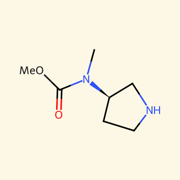 COC(=O)N(C)[C@@H]1CCNC1